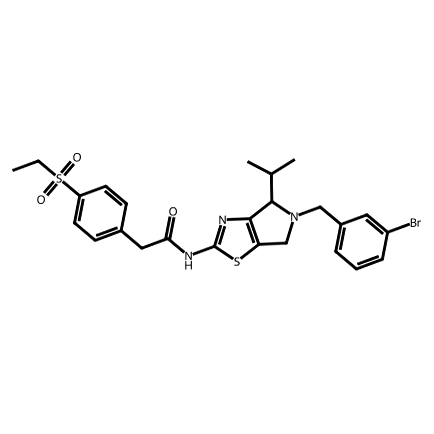 CCS(=O)(=O)c1ccc(CC(=O)Nc2nc3c(s2)CN(Cc2cccc(Br)c2)C3C(C)C)cc1